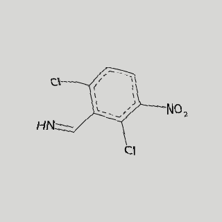 N=Cc1c(Cl)ccc([N+](=O)[O-])c1Cl